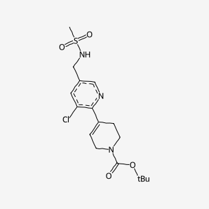 CC(C)(C)OC(=O)N1CC=C(c2ncc(CNS(C)(=O)=O)cc2Cl)CC1